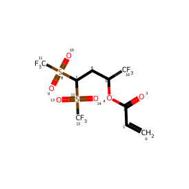 C=CC(=O)OC(CC(S(=O)(=O)C(F)(F)F)S(=O)(=O)C(F)(F)F)C(F)(F)F